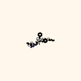 CCCCOc1ccc(C[C@H](NC(=O)C2CCCCC2)c2nc(/C=C(C)/C=C(/C)C(=O)OCC)cs2)cc1